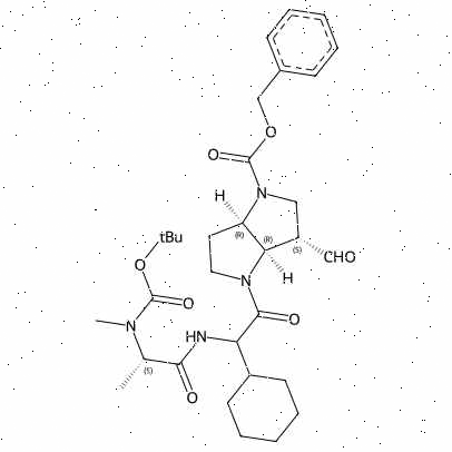 C[C@@H](C(=O)NC(C(=O)N1CC[C@@H]2[C@H]1[C@@H](C=O)CN2C(=O)OCc1ccccc1)C1CCCCC1)N(C)C(=O)OC(C)(C)C